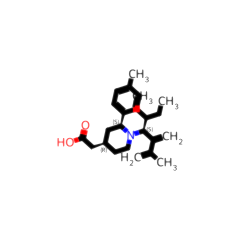 C=C(C)C(=C)[C@H](C(CC)CC)N1CC[C@@H](CC(=O)O)C[C@H]1c1ccc(C)cc1